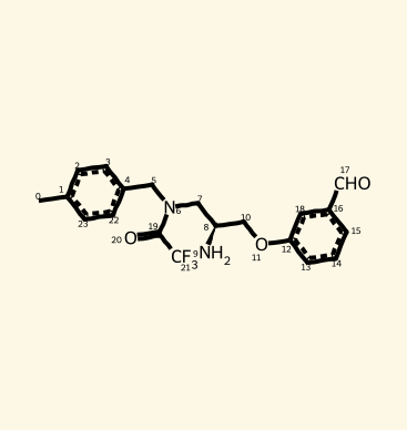 Cc1ccc(CN(C[C@H](N)COc2cccc(C=O)c2)C(=O)C(F)(F)F)cc1